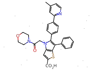 Cc1ccnc(-c2ccc(-c3c(-c4ccccc4)c4sc(C(=O)O)cc4n3CC(=O)N3CCOCC3)cc2)c1